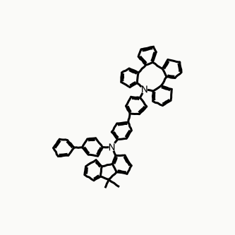 CC1(C)c2ccccc2-c2c(N(c3ccc(-c4ccccc4)cc3)c3ccc(-c4ccc(-n5c6ccccc6c6ccccc6c6ccccc6c6ccccc65)cc4)cc3)cccc21